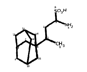 CC(CC(N)S(=O)(=O)O)C12CC3CC(CC(C3)C1)C2